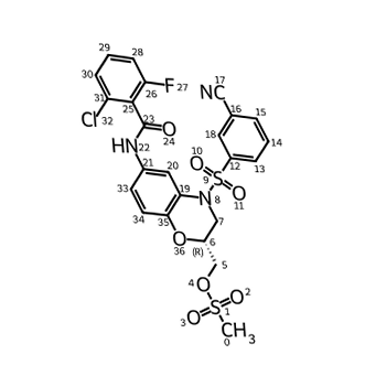 CS(=O)(=O)OC[C@H]1CN(S(=O)(=O)c2cccc(C#N)c2)c2cc(NC(=O)c3c(F)cccc3Cl)ccc2O1